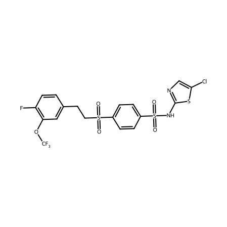 O=S(=O)(CCc1ccc(F)c(OC(F)(F)F)c1)c1ccc(S(=O)(=O)Nc2ncc(Cl)s2)cc1